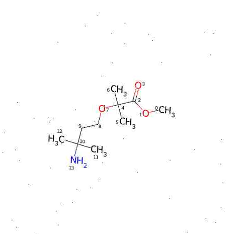 COC(=O)C(C)(C)OCCC(C)(C)N